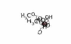 Cc1cccc(CCC(=O)N(C)C2CC[C@@]3(O)[C@H]4C(=O)c5ccc(O)c6c5[C@@]3(CCN4CCc3ccccc3)C2O6)c1